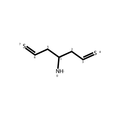 [NH]C(CC=S)CC=S